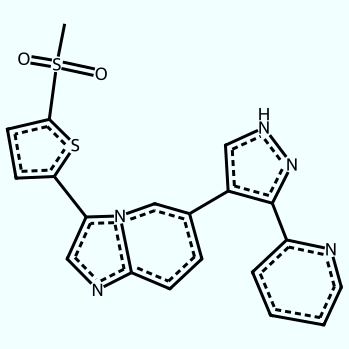 CS(=O)(=O)c1ccc(-c2cnc3ccc(-c4c[nH]nc4-c4ccccn4)cn23)s1